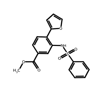 COC(=O)c1ccc(-c2ccco2)c(NS(=O)(=O)c2ccccc2)c1